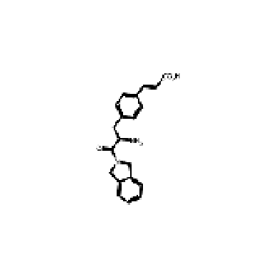 NC(Cc1ccc(C=CC(=O)O)cc1)C(=O)N1Cc2ccccc2C1